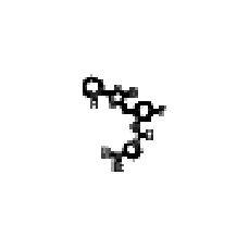 CCN(CC)[C@H]1CCN(C(=O)Oc2cc(F)ccc2/C=C2/SC(N3CCCCN3)=NC2=O)C1